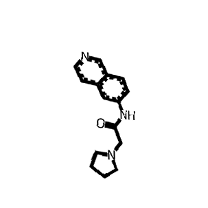 O=C(CN1CCCC1)Nc1ccc2cnccc2c1